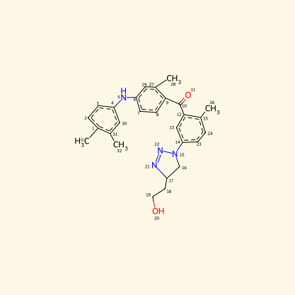 Cc1ccc(Nc2ccc(C(=O)c3cc(N4CC(CCO)N=N4)ccc3C)c(C)c2)cc1C